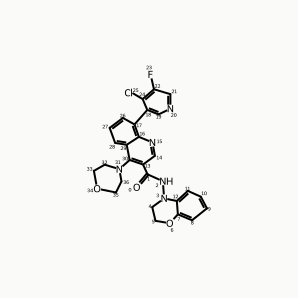 O=C(NN1CCOc2ccccc21)c1cnc2c(-c3cncc(F)c3Cl)cccc2c1N1CCOCC1